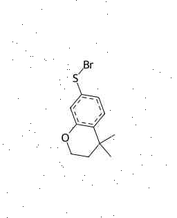 CC1(C)CCOc2cc(SBr)ccc21